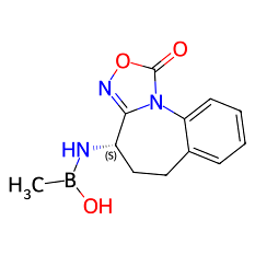 CB(O)N[C@H]1CCc2ccccc2-n2c1noc2=O